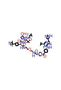 Cc1ncsc1-c1ccc([C@H](CC(=O)NCCOCCNC(=O)CN2CCN(C(=O)c3ccc(Nc4nc(C5CC5)cn5c(-c6cn[nH]c6)cnc45)c(F)c3)CC2)NC(=O)[C@@H]2C[C@@H](O)CN2C(=O)[C@@H](NC(=O)C2(F)CC2)C(C)(C)C)cc1